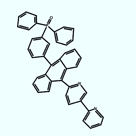 O=P(c1ccccc1)(c1ccccc1)c1cccc(-c2c3ccccc3c(-c3ccc(-c4ccccn4)cn3)c3ccccc23)c1